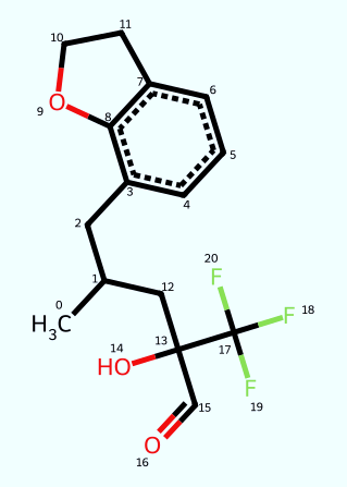 CC(Cc1cccc2c1OCC2)CC(O)(C=O)C(F)(F)F